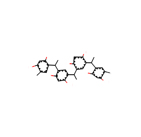 Cc1cc(C(C)c2cc(C(C)c3cc(C(C)c4cc(C(C)C)c(O)cc4O)c(O)cc3O)c(O)cc2O)c(O)cc1O